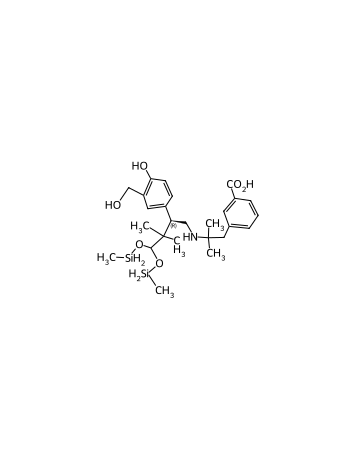 C[SiH2]OC(O[SiH2]C)C(C)(C)[C@H](CNC(C)(C)Cc1cccc(C(=O)O)c1)c1ccc(O)c(CO)c1